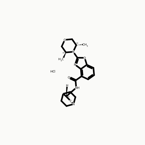 C[C@H]1COC[C@H](C)N1c1nc2c(C(=O)N[C@@H]3CN4CCC3CC4)cccc2o1.Cl